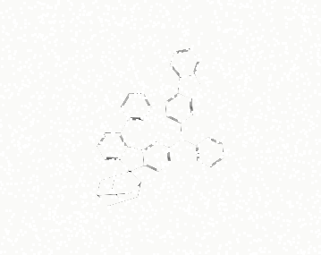 c1ccc(-c2cccc3c2-c2cc(N(c4ccccc4)c4ccc5c(c4)oc4ccccc45)ccc2C32C3CC4CC(C3)CC2C4)cc1